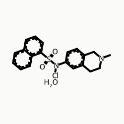 CN1CCc2cc(N(Cl)S(=O)(=O)c3cccc4ccccc34)ccc2C1.O